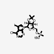 CC1(C)O[C@@H]2[C@@H](CO[Si](C)(C)C(C)(C)C)OC(n3cc(I)c4c(Cl)ncnc43)[C@@H]2O1